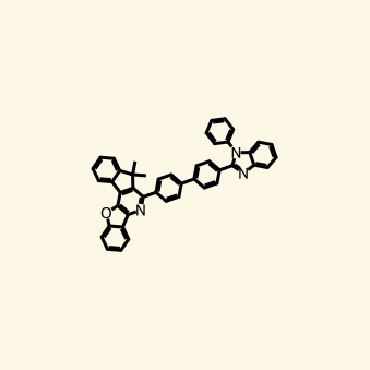 CC1(C)c2ccccc2-c2c1c(-c1ccc(-c3ccc(-c4nc5ccccc5n4-c4ccccc4)cc3)cc1)nc1c2oc2ccccc21